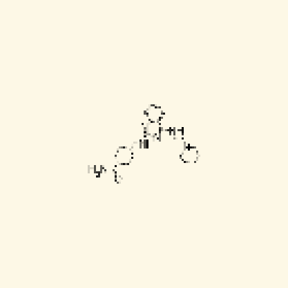 NC(=O)C1CCC(CNc2nc(NCCN3CCCCC3)c3ccccc3n2)CC1